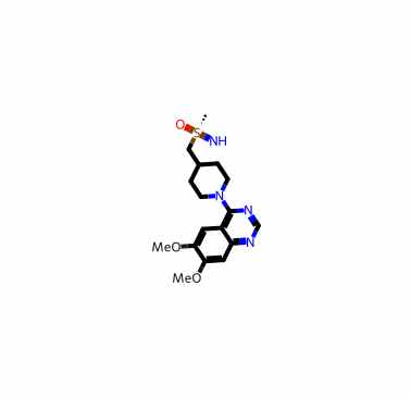 COc1cc2ncnc(N3CCC(C[S@](C)(=N)=O)CC3)c2cc1OC